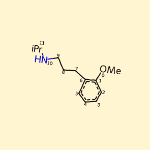 COc1ccccc1CCCNC(C)C